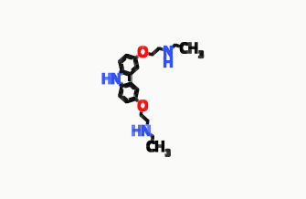 CCNCCOc1ccc2[nH]c3ccc(OCCNCC)cc3c2c1